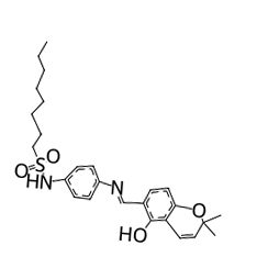 CCCCCCCCS(=O)(=O)Nc1ccc(/N=C/c2ccc3c(c2O)C=CC(C)(C)O3)cc1